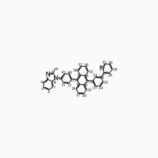 Cc1nc2ccccc2n1-c1ccc(-c2c3ccccc3c(-c3cccc(-c4ccccn4)c3)c3ccccc23)cc1